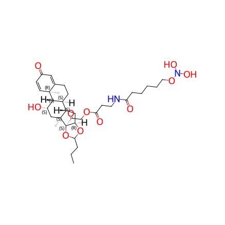 CCCC1O[C@@H]2C[C@H]3[C@@H]4CCC5=CC(=O)C=C[C@]5(C)[C@H]4[C@@H](O)C[C@]3(C)[C@]2(C(=O)COC(=O)CCNC(=O)CCCCCON(O)O)O1